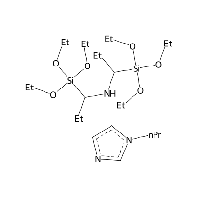 CCCn1ccnc1.CCO[Si](OCC)(OCC)C(CC)NC(CC)[Si](OCC)(OCC)OCC